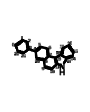 c1ccc(-c2ccc3c(ccc4[nH]c5ccccc5c43)c2)cc1